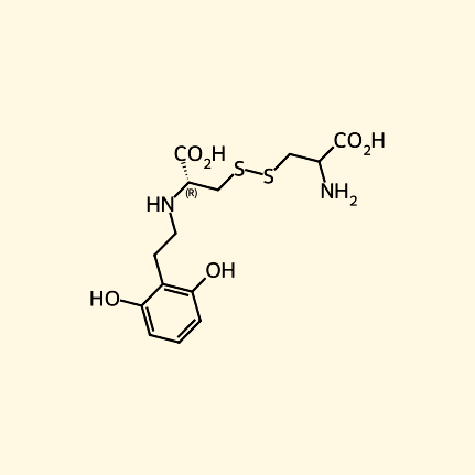 NC(CSSC[C@H](NCCc1c(O)cccc1O)C(=O)O)C(=O)O